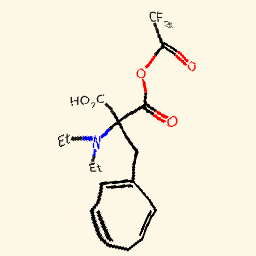 CCN(CC)C(Cc1ccccc1)(C(=O)O)C(=O)OC(=O)C(F)(F)F